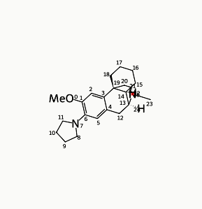 COc1cc2c(cc1N1CCCC1)C[C@H]1[C@@H]3CCCC[C@]23CCN1C